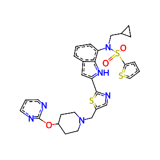 O=S(=O)(c1cccs1)N(CC1CC1)c1cccc2cc(-c3ncc(CN4CCC(Oc5ncccn5)CC4)s3)[nH]c12